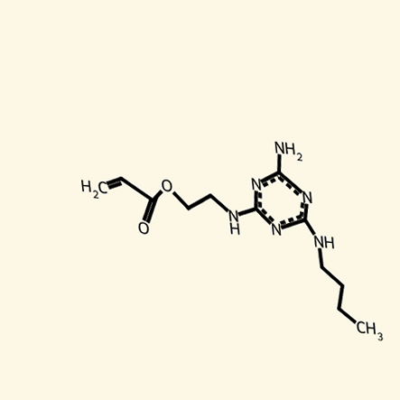 C=CC(=O)OCCNc1nc(N)nc(NCCCC)n1